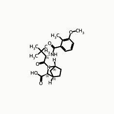 COc1cccc(C(=O)N[C@H](C(=O)N2[C@@H]3CC[C@@H](C3)[C@H]2C(=O)O)C(C)(C)C)c1C